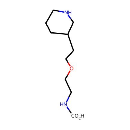 O=C(O)NCCOCCC1CCCNC1